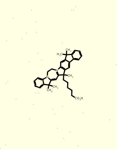 CC1(C)C2=CC3=[N+](CCN2c2ccccc21)c1cc2c(cc1C3(C)CCCCCC(=O)O)-c1ccccc1C2(C)C